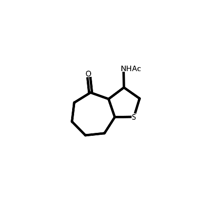 CC(=O)NC1CSC2CCCCC(=O)C12